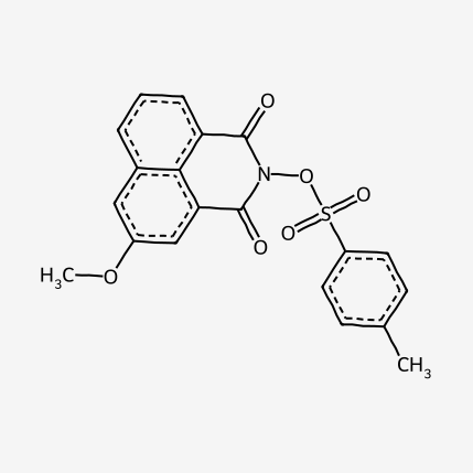 COc1cc2c3c(cccc3c1)C(=O)N(OS(=O)(=O)c1ccc(C)cc1)C2=O